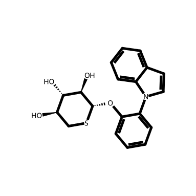 O[C@@H]1[C@@H](O)[C@H](Oc2ccccc2-n2ccc3ccccc32)SC[C@H]1O